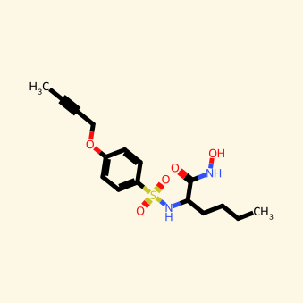 CC#CCOc1ccc(S(=O)(=O)NC(CCCC)C(=O)NO)cc1